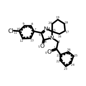 O=C(CN1C(=O)C(c2ccc(Cl)cc2)=NC12CCCCC2)c1ccccc1